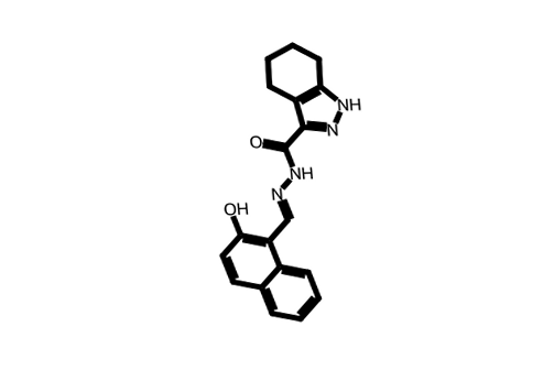 O=C(NN=Cc1c(O)ccc2ccccc12)c1n[nH]c2c1CCCC2